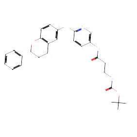 CC(C)(C)OC(=O)NCCC(=O)Nc1ccc(Oc2ccc3c(c2)CC[C@H](c2ccccc2)O3)nc1